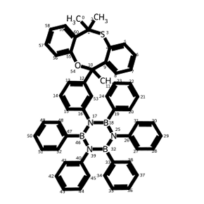 CC1(C)Sc2ccccc2C(C)(c2cccc(N3B(c4ccccc4)N(c4ccccc4)B(c4ccccc4)N(c4ccccc4)B3c3ccccc3)c2)Oc2ccccc21